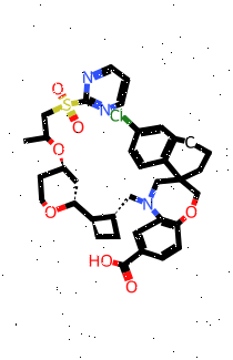 CC(CS(=O)(=O)c1ncccn1)O[C@H]1CCO[C@@H]([C@@H]2CC[C@H]2CN2CC3(CCCc4cc(Cl)ccc43)COc3ccc(C(=O)O)cc32)C1